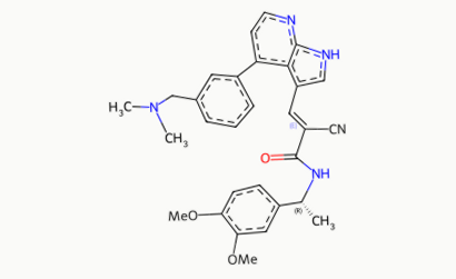 COc1ccc([C@@H](C)NC(=O)/C(C#N)=C/c2c[nH]c3nccc(-c4cccc(CN(C)C)c4)c23)cc1OC